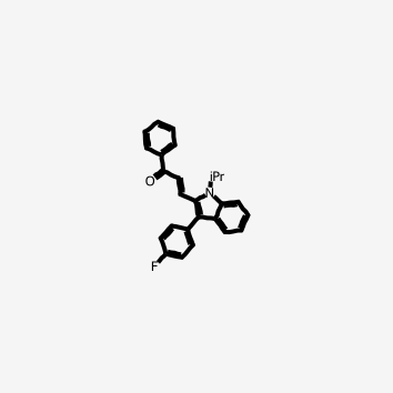 CC(C)n1c(C=CC(=O)c2ccccc2)c(-c2ccc(F)cc2)c2ccccc21